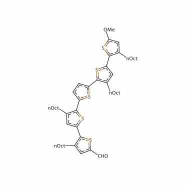 CCCCCCCCc1cc(C=O)sc1-c1cc(CCCCCCCC)c(-c2ccc(-c3sc(-c4sc(OC)cc4CCCCCCCC)cc3CCCCCCCC)s2)s1